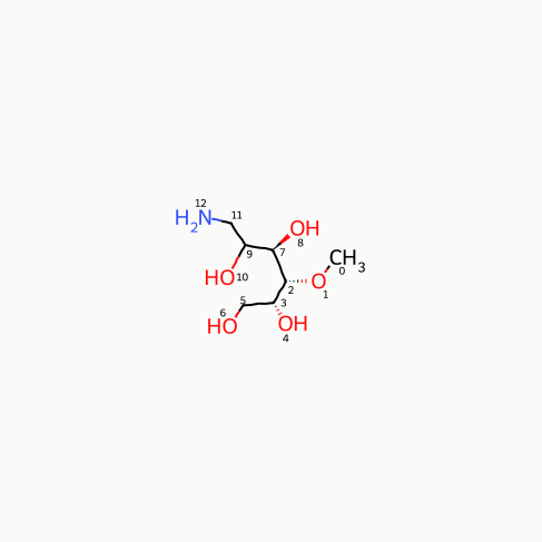 CO[C@H]([C@H](O)CO)[C@H](O)C(O)CN